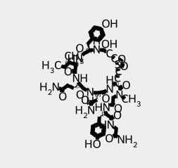 CC[C@H](C)[C@@H]1NC(=O)[C@@H](Cc2ccc(O)cc2)NC(O)CCS(=O)(=O)CC[C@@H](C(=O)N(C)CC(=O)N[C@@H](Cc2ccc(O)cc2)C(=O)NCC(N)=O)NC(=O)[C@H](CC(N)=O)NC(=O)[C@H](CCC(N)=O)NC1=O